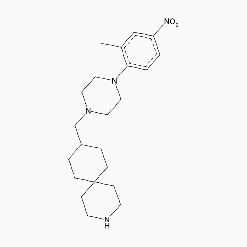 Cc1cc([N+](=O)[O-])ccc1N1CCN(CC2CCC3(CCNCC3)CC2)CC1